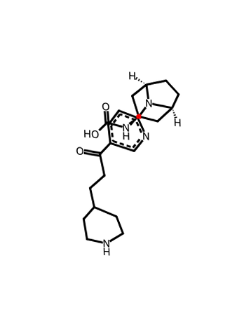 O=C(O)N[C@H]1C[C@H]2CC[C@@H](C1)N2c1ccc(C(=O)CCC2CCNCC2)cn1